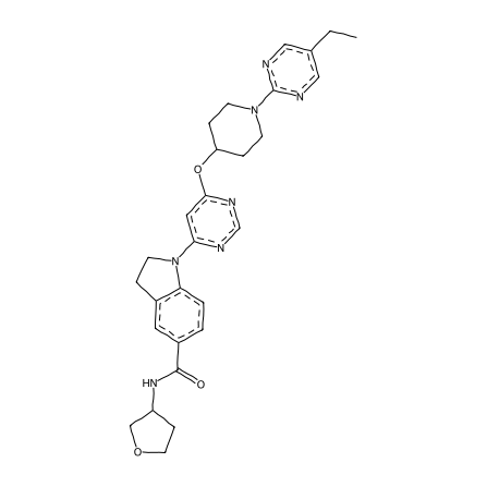 CCc1cnc(N2CCC(Oc3cc(N4CCc5cc(C(=O)NC6CCOC6)ccc54)ncn3)CC2)nc1